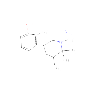 CC1CCCN(C)C1(C)C.Cc1ccccc1O.N